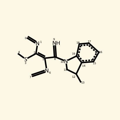 C=N/C(SC)=C(/N=C)C(=N)N1CC(C)c2ccccc21